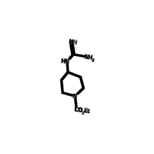 CCOC(=O)N1CCC(NC(=N)N)CC1